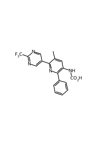 Cc1cc(NC(=O)O)c(-c2ccccc2)nc1-c1cnc(C(F)(F)F)nc1